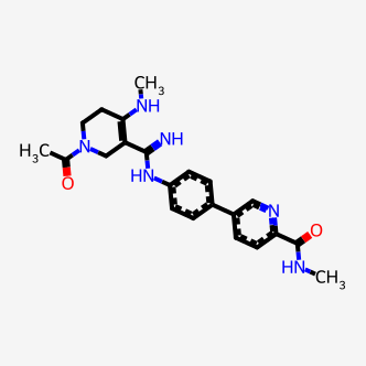 CNC(=O)c1ccc(-c2ccc(NC(=N)C3=C(NC)CCN(C(C)=O)C3)cc2)cn1